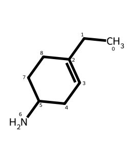 CCC1=CCC(N)CC1